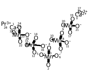 [Ca+2].[Ca+2].[O]=[Mn](=[O])([O-])[O-].[O]=[Mn](=[O])([O-])[O-].[O]=[Mn](=[O])([O-])[O-].[O]=[Mn](=[O])([O-])[O-].[O]=[Mn](=[O])([O-])[O-].[Pr+3].[Pr+3]